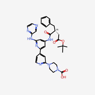 CC(C)(C)OC(=O)C[C@@H](Cc1ccccc1)C(=O)Nc1cc(Nc2cnccn2)nc(-c2ccnc(N3CCN(C(=O)O)CC3)c2)c1